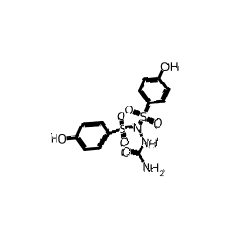 NC(=O)NN(S(=O)(=O)c1ccc(O)cc1)S(=O)(=O)c1ccc(O)cc1